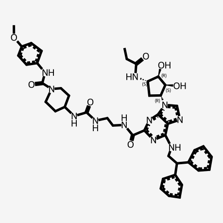 CCC(=O)N[C@H]1C[C@@H](n2cnc3c(NCC(c4ccccc4)c4ccccc4)nc(C(=O)NCCNC(=O)NC4CCN(C(=O)Nc5ccc(OC)cc5)CC4)nc32)[C@H](O)[C@@H]1O